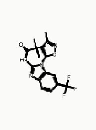 Cc1cc(-n2c(NC(=O)C(C)(C)C)nc3ccc(C(F)(F)F)cc32)on1